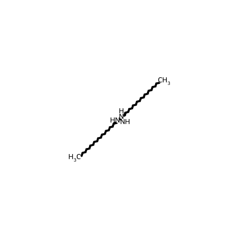 CCCCCCCCCCCCCCCCCCC=CNC(=N)NC=CCCCCCCCCCCCCCCCCCC